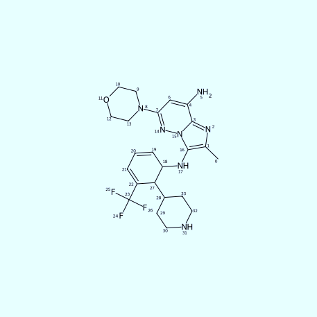 Cc1nc2c(N)cc(N3CCOCC3)nn2c1NC1C=CC=C(C(F)(F)F)C1C1CCNCC1